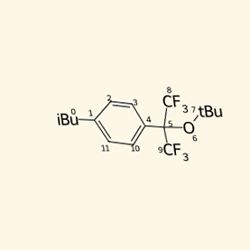 CCC(C)c1ccc(C(OC(C)(C)C)(C(F)(F)F)C(F)(F)F)cc1